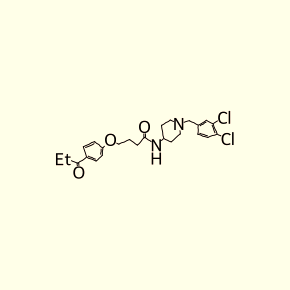 CCC(=O)c1ccc(OCCCC(=O)NC2CCN(Cc3ccc(Cl)c(Cl)c3)CC2)cc1